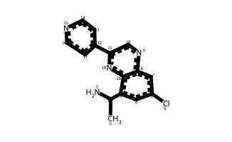 CC(N)c1cc(Cl)cc2ncc(-c3ccncc3)nc12